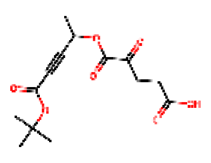 CC(C#CC(=O)OC(C)(C)C)OC(=O)C(=O)CCC(=O)O